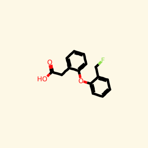 O=C(O)Cc1ccccc1Oc1ccccc1CF